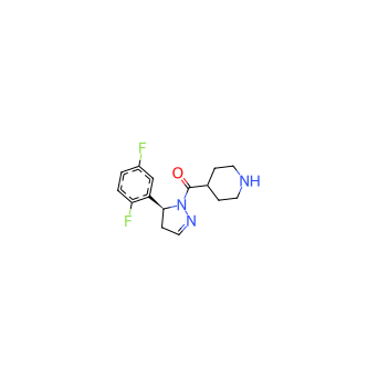 O=C(C1CCNCC1)N1N=CC[C@H]1c1cc(F)ccc1F